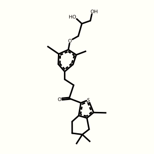 Cc1cc(CCC(=O)c2sc(C)c3c2CCC(C)(C)C3)cc(C)c1OCC(O)CO